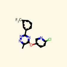 Cc1nnc(-c2cccc(C(F)(F)F)c2)nc1Oc1ccc(Cl)nc1